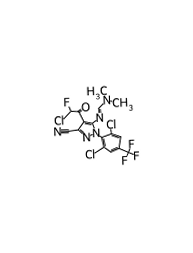 CN(C)C=Nc1c(C(=O)C(F)Cl)c(C#N)nn1-c1c(Cl)cc(C(F)(F)F)cc1Cl